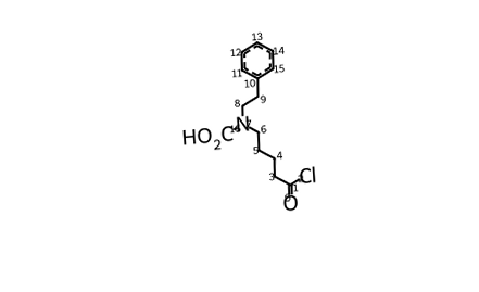 O=C(Cl)CCCCN(CCc1ccccc1)C(=O)O